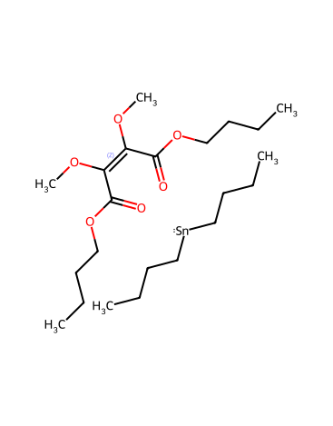 CCCCOC(=O)/C(OC)=C(/OC)C(=O)OCCCC.CCC[CH2][Sn][CH2]CCC